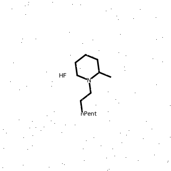 CCCCCCCN1CCCCC1C.F